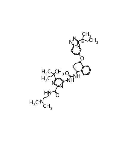 CC[C@H](C)c1nnc2ccc(O[C@@H]3CC[C@H](NC(=O)Nc4cc(C(C)(C)C)nc(C(=O)NCCN(C)C)n4)c4ccccc43)cn12